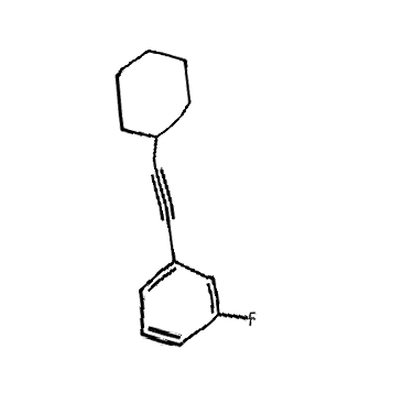 Fc1cccc(C#CC2CCCCC2)c1